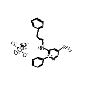 Nc1cn[n+](-c2ccccc2)c(NCCc2ccccc2)c1.[O-][Cl+3]([O-])([O-])[O-]